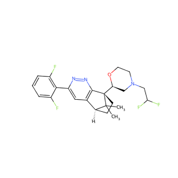 CC1(C)[C@H]2CC[C@]1([C@@H]1CN(CC(F)F)CCO1)c1nnc(-c3c(F)cccc3F)cc12